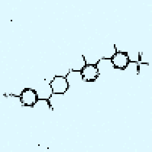 Cc1c(Oc2ccc(S(C)(=O)=O)cc2F)ncnc1OC1CCN(C(=O)c2ccc(N)nc2)CC1